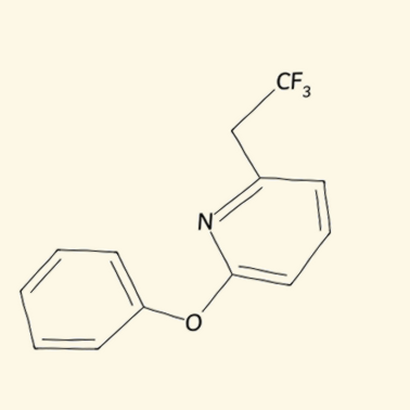 FC(F)(F)Cc1cccc(Oc2ccccc2)n1